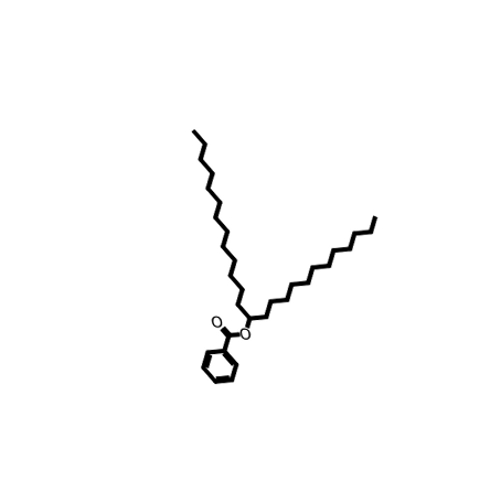 CCCCCCCCCCCCCC(CCCCCCCCCCCC)OC(=O)c1ccccc1